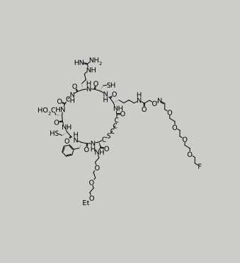 CCOCCOCCOCCNC(=O)[C@@H]1CSCCCC(=O)N[C@@H](CCCCNC(=O)CO/N=C\COCCOCCOCCOCCF)C(=O)N[C@@H](CS)C(=O)N[C@@H](CCCNC(=N)N)C(=O)NCC(=O)N[C@@H](CC(=O)O)C(=O)N[C@@H](CS)C(=O)N[C@@H](Cc2ccccc2)C(=O)N1